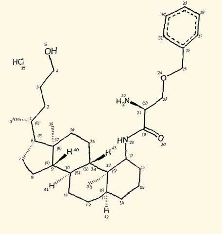 C[C@H](CCCO)[C@H]1CC[C@H]2[C@@H]3CC[C@@H]4CCCC(NC(=O)[C@@H](N)COCc5ccccc5)[C@]4(C)[C@H]3CC[C@]12C.Cl